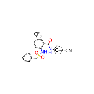 N#CC12CCC(NC(=O)c3cc(C(F)(F)F)ccc3NS(=O)(=O)Cc3ccccc3)(CC1)CC2